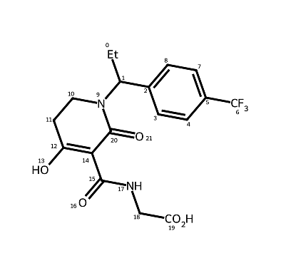 CCC(c1ccc(C(F)(F)F)cc1)N1CCC(O)=C(C(=O)NCC(=O)O)C1=O